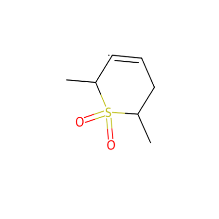 CC1[C]=CCC(C)S1(=O)=O